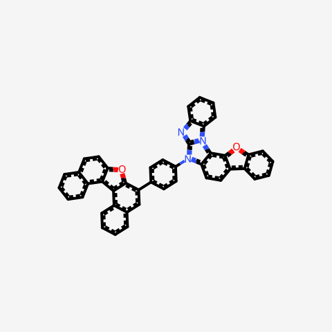 c1ccc2c(c1)ccc1oc3c(-c4ccc(-n5c6ccc7c8ccccc8oc7c6n6c7ccccc7nc56)cc4)cc4ccccc4c3c12